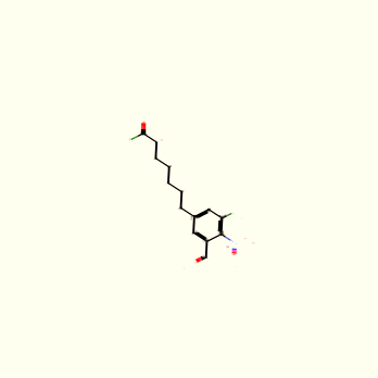 O=Cc1cc(CCCCCCC(=O)Cl)cc(Cl)c1[N+](=O)[O-]